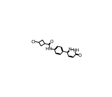 O=C(Nc1ccc(-c2ccc(=O)[nH]n2)cc1)C1CC(Cl)C1